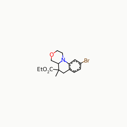 CCOC(=O)C1(C)Cc2ccc(Br)cc2N2CCOCC21